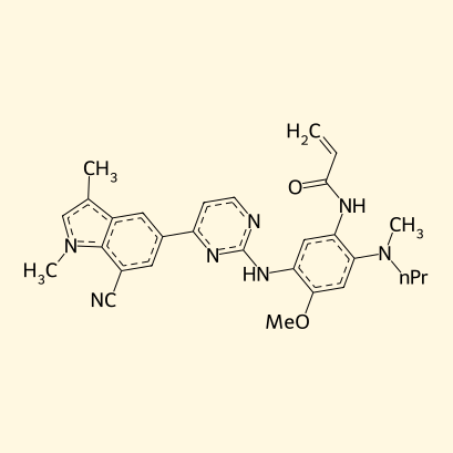 C=CC(=O)Nc1cc(Nc2nccc(-c3cc(C#N)c4c(c3)c(C)cn4C)n2)c(OC)cc1N(C)CCC